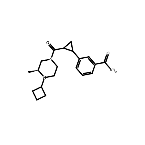 C[C@H]1CN(C(=O)C2CC2c2cccc(C(N)=O)c2)CCN1C1CCC1